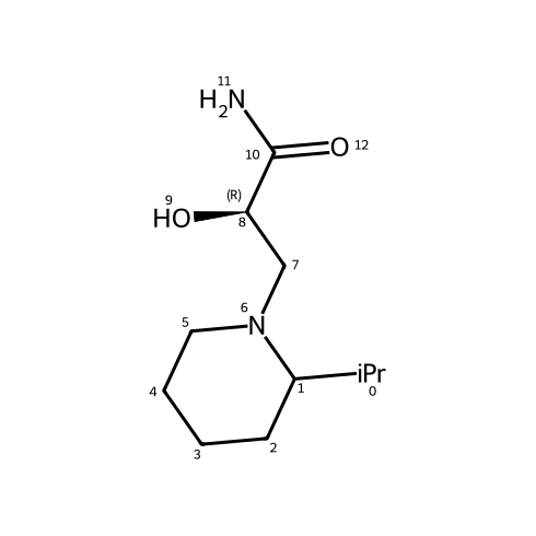 CC(C)C1CCCCN1C[C@@H](O)C(N)=O